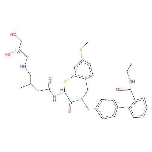 CCNC(=O)c1ccccc1-c1ccc(CN2Cc3ccc(SC)cc3S[C@@H](NC(=O)CC(C)CNC[C@H](O)CO)C2=O)cc1